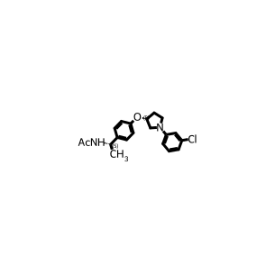 CC(=O)N[C@@H](C)c1ccc(O[C@@H]2CCN(c3cccc(Cl)c3)C2)cc1